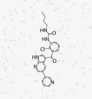 CCCCNC(=O)Nc1cccc(C(=O)c2c[nH]c3ncc(-c4cccnc4)cc23)c1Cl